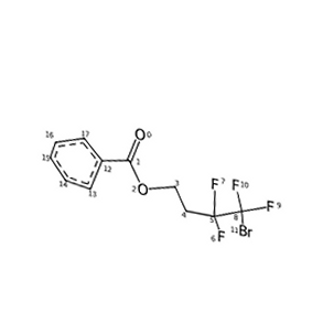 O=C(OCCC(F)(F)C(F)(F)Br)c1ccccc1